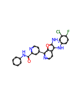 Nc1oc2c(-c3ccnc(C(=O)Nc4ccccc4)c3)nccc2c1Nc1ccc(F)c(Cl)c1